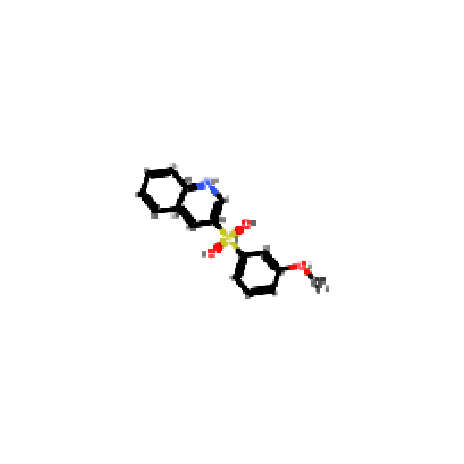 O=S(=O)(c1cccc(OC(F)(F)F)c1)c1cnc2[c]cccc2c1